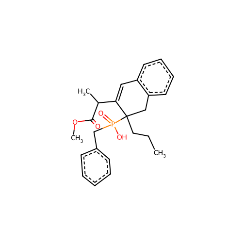 CCCC1(P(=O)(O)Cc2ccccc2)Cc2ccccc2C=C1C(C)C(=O)OC